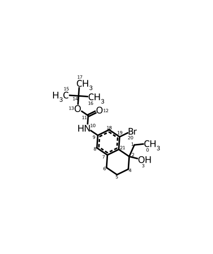 CCC1(O)CCCc2cc(NC(=O)OC(C)(C)C)cc(Br)c21